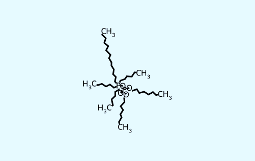 CCCCCCCCCCCCCCP(CCCCCC)(CCCCCC)(CCCCCC)OP(=O)(OCCCCCCCC)OCCCCCCCC